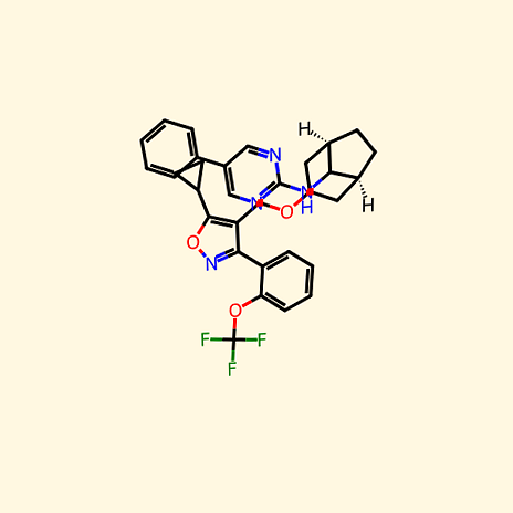 FC(F)(F)Oc1ccccc1-c1noc(C2CC2)c1COC1C[C@H]2CC[C@@H](C1)C2Nc1ncc(-c2ccccc2)cn1